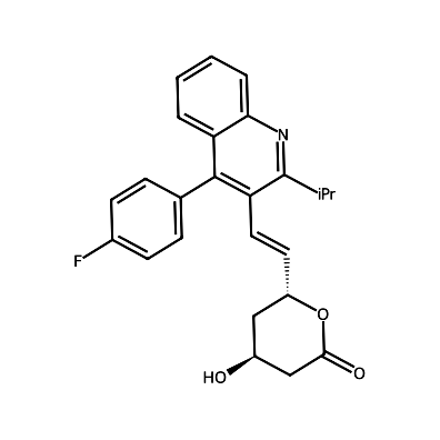 CC(C)c1nc2ccccc2c(-c2ccc(F)cc2)c1/C=C/[C@H]1C[C@H](O)CC(=O)O1